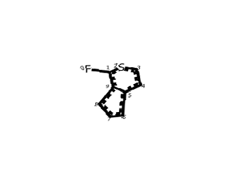 Fc1sccc2[c]ccc1-2